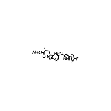 COC(=O)[C@@H](C)Cn1ncc2ncc(Nc3cc(OC(F)F)[nH]n3)nc21